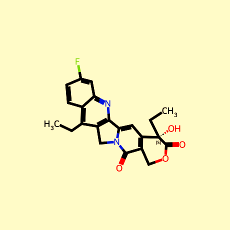 CCc1c2c(nc3cc(F)ccc13)-c1cc3c(c(=O)n1C2)COC(=O)[C@]3(O)CC